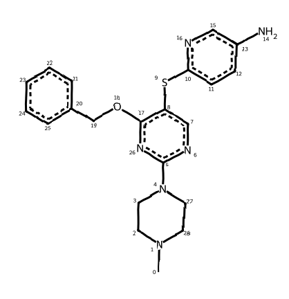 CN1CCN(c2ncc(Sc3ccc(N)cn3)c(OCc3ccccc3)n2)CC1